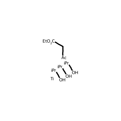 CC(C)O.CC(C)O.CC(C)O.CCOC(=O)CC(C)=O.[Ti]